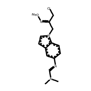 CON=C(CCl)Cn1ccc2cc(N=CN(C)C)ccc21